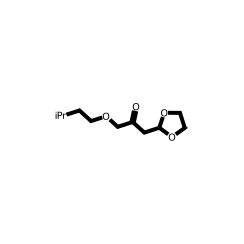 CC(C)CCOCC(=O)CC1O[CH]CO1